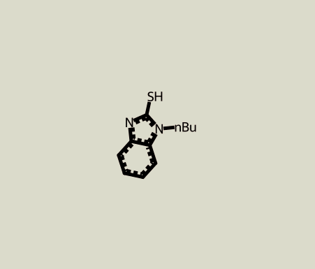 CCCCn1c(S)nc2ccccc21